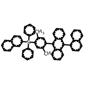 Cc1cc([Si](c2ccccc2)(c2ccccc2)c2ccc3ccccc3c2)c(C)cc1-c1c2ccccc2c(-c2cccc3ccccc23)c2ccccc12